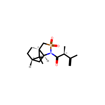 C=C(C)[C@H](C)C(=O)N1[C@H]2C[C@@H]3CC[C@@]2(CS1(=O)=O)C3(C)C